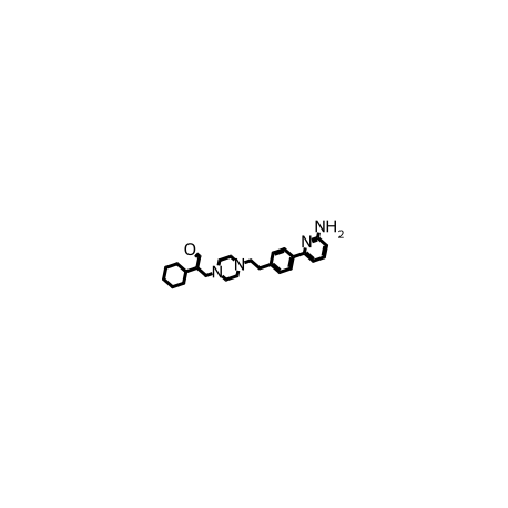 Nc1cccc(-c2ccc(CCN3CCN(CC(C=O)C4CCCCC4)CC3)cc2)n1